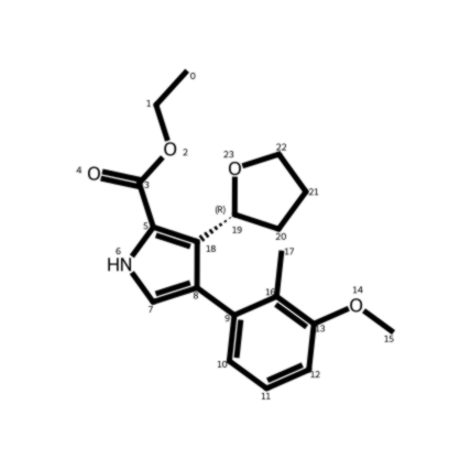 CCOC(=O)c1[nH]cc(-c2cccc(OC)c2C)c1[C@H]1CCCO1